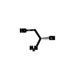 N#C[C@H](N)CO